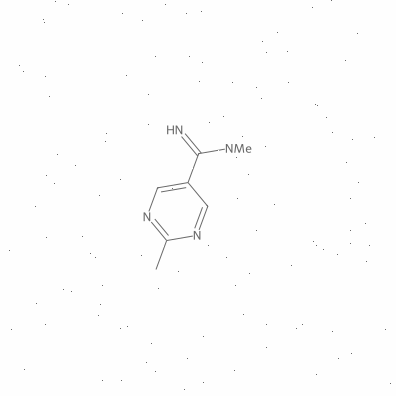 CNC(=N)c1cnc(C)nc1